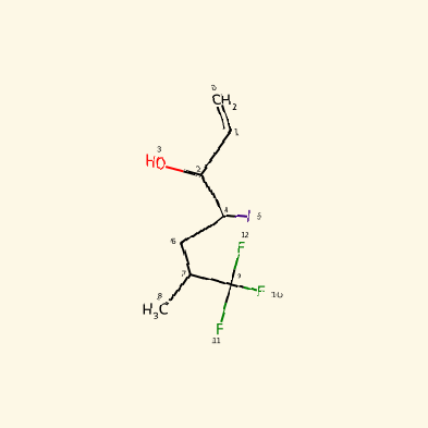 C=CC(O)C(I)CC(C)C(F)(F)F